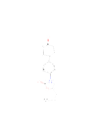 COCC1CN(c2ccc(C3CCC(=O)CC3)cc2)C(=O)O1